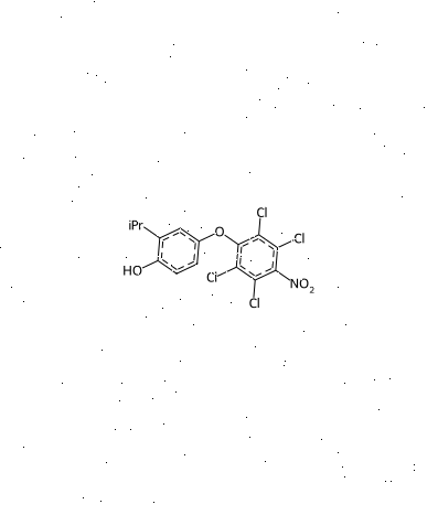 CC(C)c1cc(Oc2c(Cl)c(Cl)c([N+](=O)[O-])c(Cl)c2Cl)ccc1O